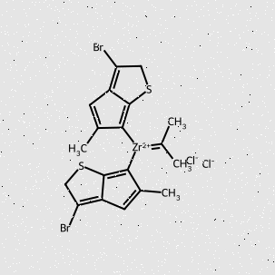 CC1=CC2=C(Br)CSC2=[C]1[Zr+2]([C]1=C2SCC(Br)=C2C=C1C)=[C](C)C.[Cl-].[Cl-]